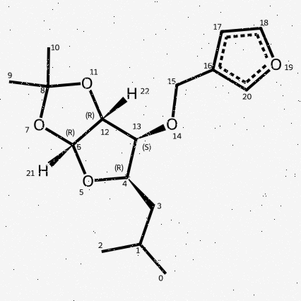 CC(C)C[C@H]1O[C@@H]2OC(C)(C)O[C@@H]2[C@H]1OCc1ccoc1